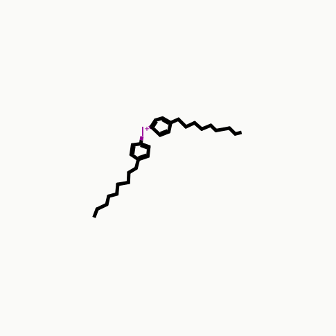 CCCCCCCCCc1ccc([I+]c2ccc(CCCCCCCCC)cc2)cc1